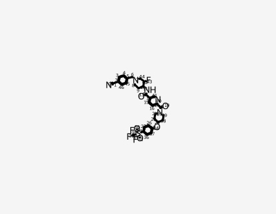 N#Cc1ccc(CN2CCC(NC(=O)c3ccc(C(=O)N4CCC(Oc5ccc(S(=O)(=O)C(F)(F)F)cc5)CC4)nc3)C(F)C2)cc1